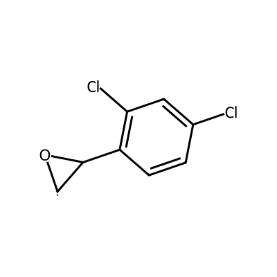 Clc1ccc(C2[CH]O2)c(Cl)c1